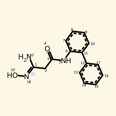 N/C(CC(=O)Nc1ccccc1-c1ccccc1)=N\O